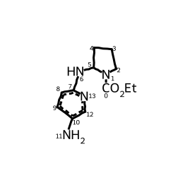 CCOC(=O)N1CCCC1Nc1ccc(N)cn1